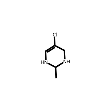 CC1NC=C(Cl)CN1